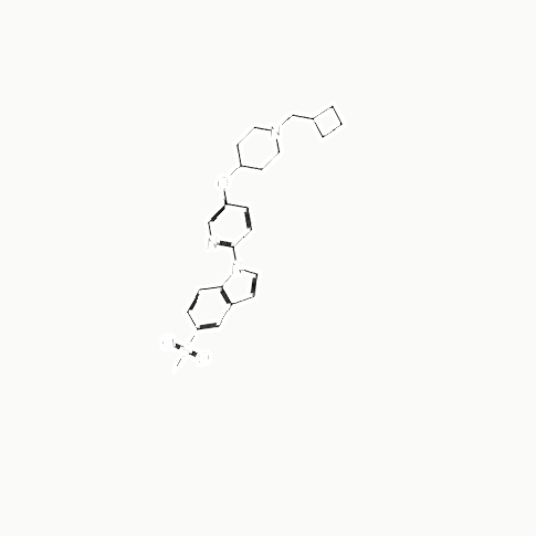 CS(=O)(=O)c1ccc2c(ccn2-c2ccc(OC3CCN(CC4CCC4)CC3)cn2)c1